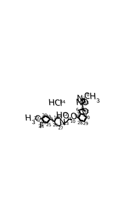 Cc1nnc(-c2cc3c(OC[C@@H](O)CN4CCC(c5ccc(C)c(F)c5)CC4)cccc3o2)o1.Cl